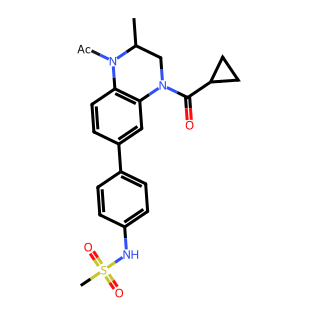 CC(=O)N1c2ccc(-c3ccc(NS(C)(=O)=O)cc3)cc2N(C(=O)C2CC2)CC1C